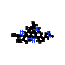 Cc1c(-c2cnn(C)c2)cccc1[C@H](Nc1cc(C#N)cc2c(NCC(C)(C)C)c(C#N)cnc12)c1cn(C2(C(F)(F)F)CC2)nn1